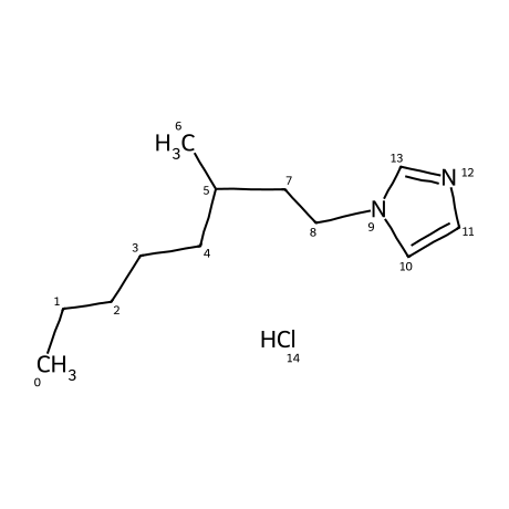 CCCCCC(C)CCn1ccnc1.Cl